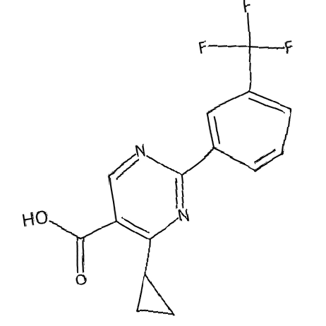 O=C(O)c1cnc(-c2cccc(C(F)(F)F)c2)nc1C1CC1